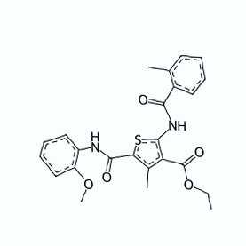 CCOC(=O)c1c(NC(=O)c2ccccc2C)sc(C(=O)Nc2ccccc2OC)c1C